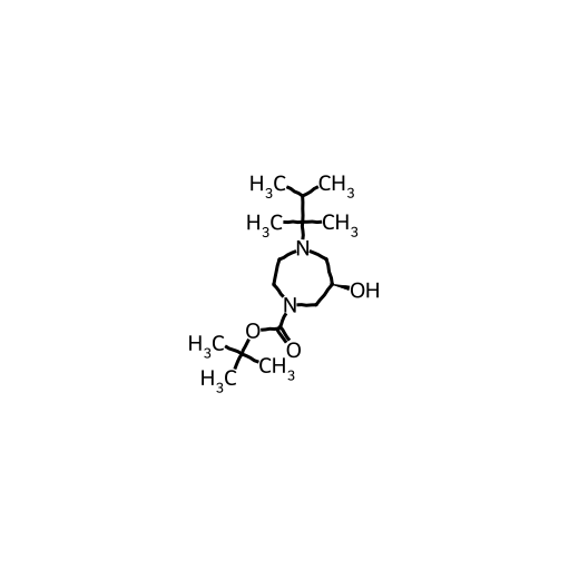 CC(C)C(C)(C)N1CCN(C(=O)OC(C)(C)C)C[C@H](O)C1